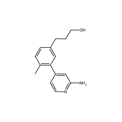 Cc1ccc(CCCO)cc1-c1ccnc(N)c1